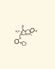 C[C@@H]1C(=C=O)N(Cc2ccc(F)cc2)[C@@H](C)CN1COc1ccccc1N1CCCC1